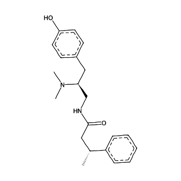 C[C@H](CC(=O)NC[C@H](Cc1ccc(O)cc1)N(C)C)c1ccccc1